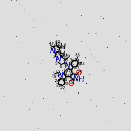 [2H]c1c(CN2CCC(n3cc(C4=C(c5c(C)n(CC)c6ccccc56)C(=O)NC4=O)c4cc(C)c(C)cc43)C(C)C2(C)C)nc(C)c(C)c1[2H]